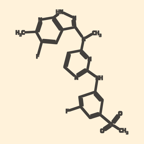 Cc1nc2[nH]nc(N(C)c3ccnc(Nc4cc(F)cc(S(C)(=O)=O)c4)n3)c2cc1F